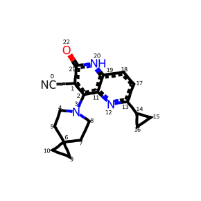 N#Cc1c(N2CCC3(CC2)CC3)c2nc(C3CC3)ccc2[nH]c1=O